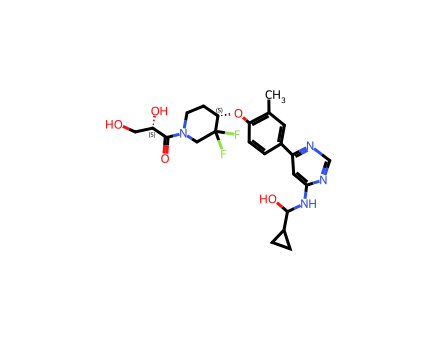 Cc1cc(-c2cc(NC(O)C3CC3)ncn2)ccc1O[C@H]1CCN(C(=O)[C@@H](O)CO)CC1(F)F